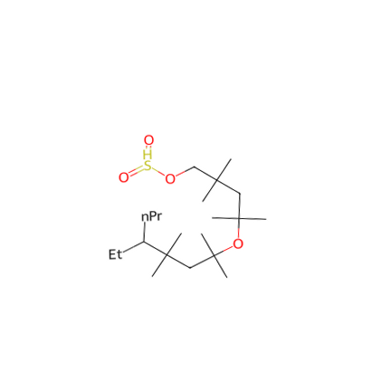 CCCC(CC)C(C)(C)CC(C)(C)OC(C)(C)CC(C)(C)CO[SH](=O)=O